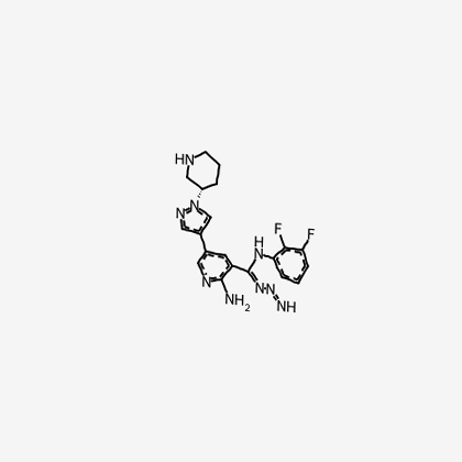 N=N/N=C(\Nc1cccc(F)c1F)c1cc(-c2cnn([C@H]3CCCNC3)c2)cnc1N